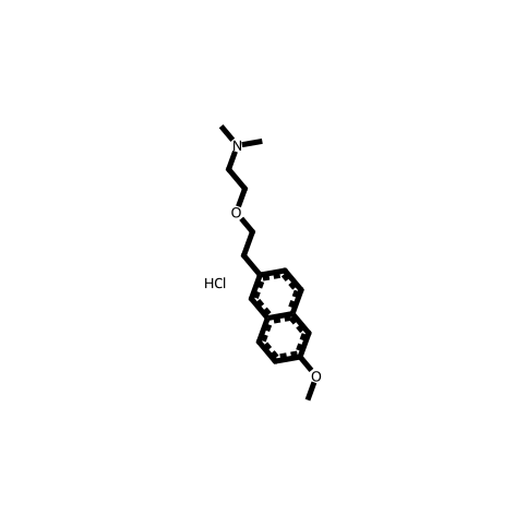 COc1ccc2cc(CCOCCN(C)C)ccc2c1.Cl